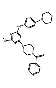 CSc1nc(Nc2ccc(N3CCOCC3)cc2)cc(N2CCN(C(=O)c3ccncc3)CC2)n1